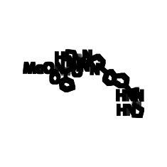 COC(=O)N[C@@H](C(=O)N1CCC[C@H]1c1nc2ccc(-c3ccc4cc(-c5cnc([C@@H]6CCCN6)[nH]5)ccc4c3)nc2[nH]1)c1ccccc1